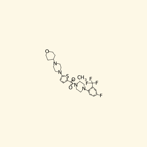 C[C@@H]1CN(c2ccc(F)cc2C(F)(F)F)CCN1S(=O)(=O)c1ccc(N2CCN(C3CCOCC3)CC2)s1